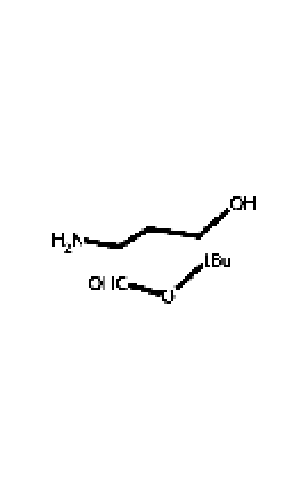 CC(C)(C)OC=O.NCCCO